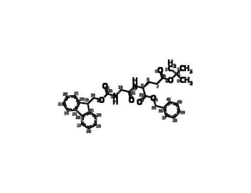 CC(C)(C)OC(=O)CC[C@H](NC(=O)CNC(=O)OCC1c2ccccc2-c2ccccc21)C(=O)OCc1ccccc1